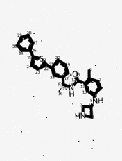 Cc1ccc(NC2CNC2)cc1C(=O)N[C@H](C)c1cccc(-c2ccc(-c3ccccc3)s2)c1